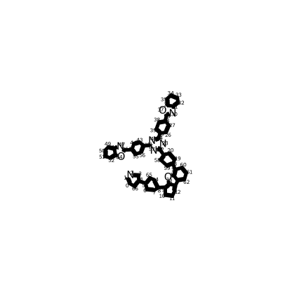 c1cncc(-c2ccc(-c3cccc4c3oc3c(-c5ccc(-c6nc(-c7ccc(-c8nc9ccccc9o8)cc7)nc(-c7ccc(-c8nc9ccccc9o8)cc7)n6)cc5)cccc34)cc2)c1